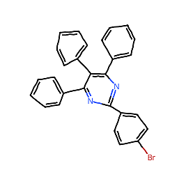 Brc1ccc(-c2nc(-c3ccccc3)c(-c3ccccc3)c(-c3ccccc3)n2)cc1